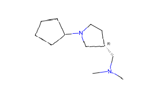 CN(C)C[C@H]1CCN(C2CCCC2)C1